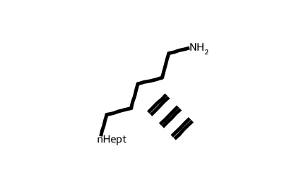 C=C.C=C.C=C.CCCCCCCCCCCCN